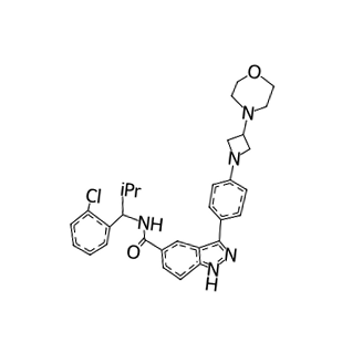 CC(C)C(NC(=O)c1ccc2[nH]nc(-c3ccc(N4CC(N5CCOCC5)C4)cc3)c2c1)c1ccccc1Cl